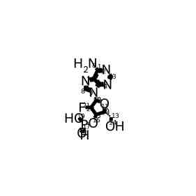 Nc1ncnc2c1ncn2[C@@H]1O[C@H](CO)C(O[PH](=O)O)C1F